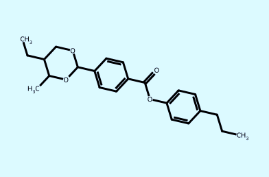 CCCc1ccc(OC(=O)c2ccc(C3OCC(CC)C(C)O3)cc2)cc1